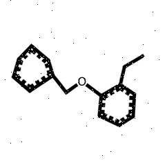 CCc1ccccc1OCc1ccccc1